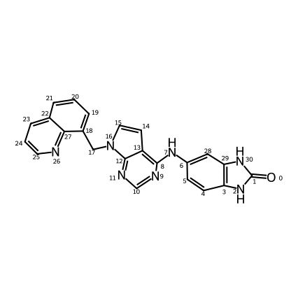 O=c1[nH]c2ccc(Nc3ncnc4c3ccn4Cc3cccc4cccnc34)cc2[nH]1